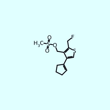 CS(=O)(=O)OCc1c(C2=CCCC2)csc1CF